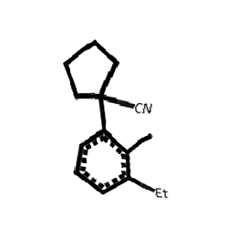 CCc1cccc(C2(C#N)CCCC2)c1C